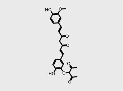 COc1cc(C=CC(=O)CC(=O)C=Cc2ccc(O)c(OC(C(C)=O)C(C)=O)c2)ccc1O